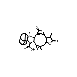 CC1C(=O)OC2CC3(C)OC3C(N(C(=O)O)C34CC5CC(CC(C5)C3)C4)C(N(C)C)C3=CC(OC3=O)C21